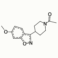 COc1ccc2c(C3CCN(C(C)=O)CC3)noc2c1